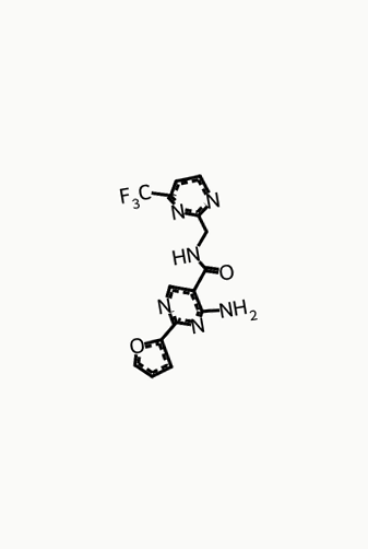 Nc1nc(-c2ccco2)ncc1C(=O)NCc1nccc(C(F)(F)F)n1